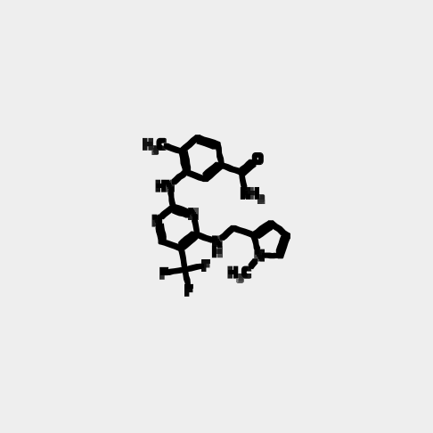 Cc1ccc(C(N)=O)cc1Nc1ncc(C(F)(F)F)c(NCc2cccn2C)n1